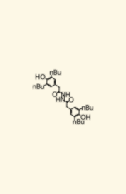 CCCCc1cc(CC(=O)NNC(=O)Cc2cc(CCCC)c(O)c(CCCC)c2)cc(CCCC)c1O